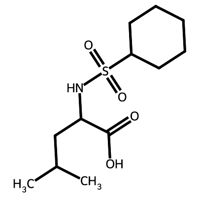 CC(C)CC(NS(=O)(=O)C1CCCCC1)C(=O)O